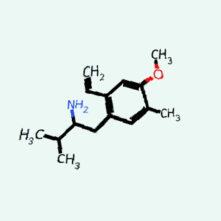 C=Cc1cc(OC)c(C)cc1CC(N)C(C)C